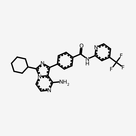 Nc1nccn2c(C3CCCCC3)nc(-c3ccc(C(=O)Nc4cc(C(F)(F)F)ccn4)cc3)c12